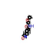 CN1C(=O)C=C[C@@]2(C)C1CC[C@@H]1[C@H]2CC[C@]2(C)C(C(=O)Nc3ccc(Oc4ccccc4)cc3)CC[C@@H]12